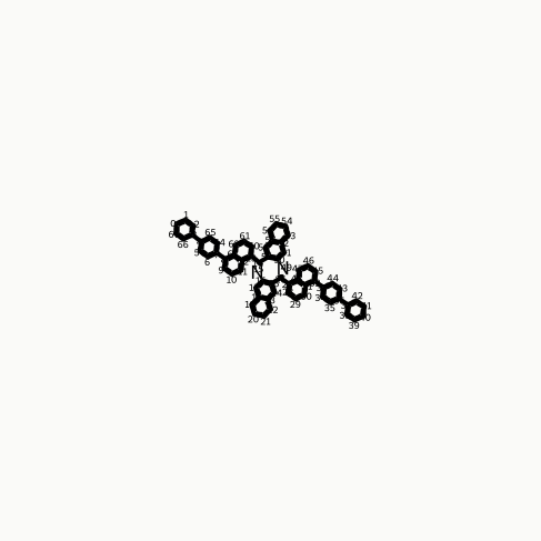 c1ccc(-c2ccc(-c3cccc4c(/C5=N/c6cc7ccccc7cc6/C(c6cccc7c(-c8ccc(-c9ccccc9)cc8)cccc67)=N\c6cc7ccccc7cc65)cccc34)cc2)cc1